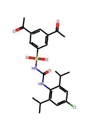 CC(=O)c1cc(C(C)=O)cc(S(=O)(=O)NC(=O)Nc2c(C(C)C)cc(Cl)cc2C(C)C)c1